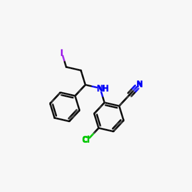 N#Cc1ccc(Cl)cc1NC(CCI)c1ccccc1